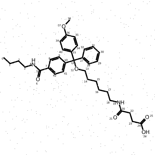 CCCCNC(=O)c1ccc(C(OCCCCCCNC(=O)CCC(=O)O)(c2ccccc2)c2ccc(OC)cc2)cc1